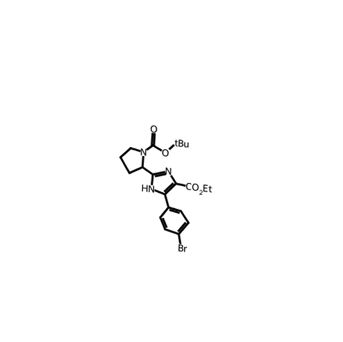 CCOC(=O)c1nc(C2CCCN2C(=O)OC(C)(C)C)[nH]c1-c1ccc(Br)cc1